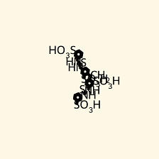 C=C(c1ccc(NC(=S)Nc2cccc(S(=O)(=O)O)c2)cc1S(=O)(=O)O)c1ccc(NC(=S)Nc2cccc(S(=O)(=O)O)c2)cc1S(=O)(=O)O